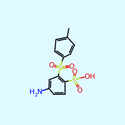 Cc1ccc(S(=O)(=O)c2cc(N)ccc2S(=O)(=O)O)cc1